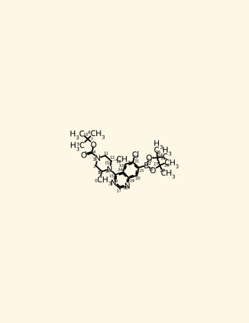 C[C@H]1CN(C(=O)OC(C)(C)C)C[C@H](C)N1c1ncnc2cc(B3OC(C)(C)C(C)(C)O3)c(Cl)cc12